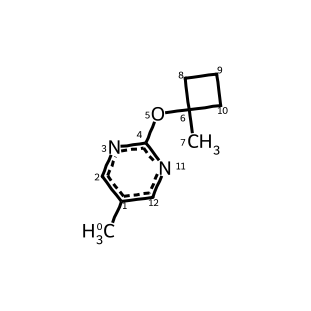 Cc1cnc(OC2(C)CCC2)nc1